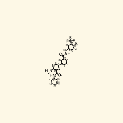 Nc1ncc(-c2cccc(C(=O)NCc3ccc(F)c(C(F)(F)F)c3)c2)nc1C(=O)N[C@H]1CCCNC1